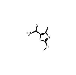 COc1nc(C)c(C(N)=O)s1